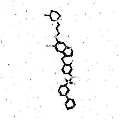 COc1cc2c(Cc3ccc(NS(=O)(=O)c4cccc(-c5ccccc5)c4)cc3F)ccnc2cc1OCCCN1CCCC(C)C1